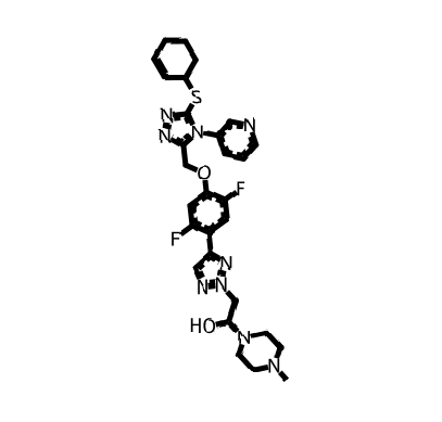 CN1CCN(C(O)Cn2ncc(-c3cc(F)c(OCc4nnc(SC5C=CCCC5)n4-c4cccnc4)cc3F)n2)CC1